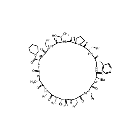 CC[C@H](C)[C@@H]1NC(=O)[C@H](CC(C)C)NC(=O)[C@H](CC(C)C)NC(=O)[C@H](C)N(C)C(=O)[C@H](C(C)C)NC(=O)[C@H](C)NC(=O)C[C@@H](C(=O)N2CCCCC2)NC(=O)[C@H](CC(C)C)NC(=O)[C@H]([C@@H](C)O)NC(=O)[C@@H]2CCCN2C(=O)[C@H](CC(C)C)NC(=O)[C@H](Cc2ccccc2)NC1=O